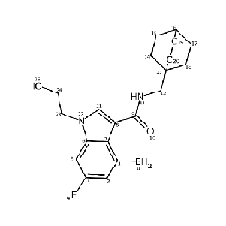 Bc1cc(F)cc2c1c(C(=O)NCC13CCC(CC1)CC3)cn2CCO